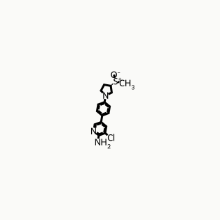 C[S+]([O-])[C@H]1CCN(c2ccc(-c3cnc(N)c(Cl)c3)cc2)C1